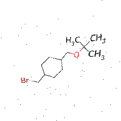 CC(C)(C)OCC1CCC(CBr)CC1